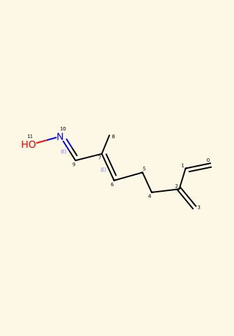 C=CC(=C)CC/C=C(C)/C=N/O